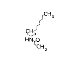 C=CC(=O)NC(CC)CCCCCCCCC